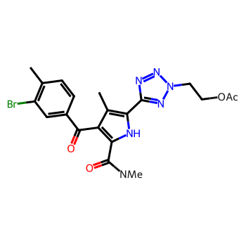 CNC(=O)c1[nH]c(-c2nnn(CCOC(C)=O)n2)c(C)c1C(=O)c1ccc(C)c(Br)c1